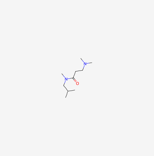 CC(C)CN(C)C(=O)CCN(C)C